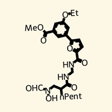 CCCCCC(CN(O)C=O)C(=O)NCNC(=O)c1ccc(-c2cc(OCC)cc(C(=O)OC)c2)o1